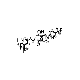 O=C(OCCc1c[nH]c(=O)c(C(F)(F)F)c1)N1CCN(c2ncc(C(F)(F)F)cn2)C[C@H]1CO